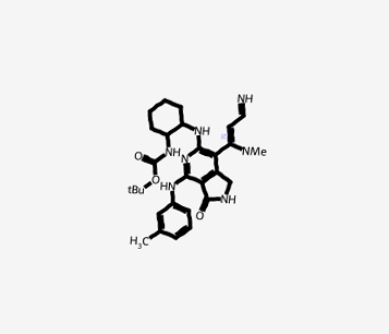 CN/C(=C\C=N)c1c(NC2CCCCC2NC(=O)OC(C)(C)C)nc(Nc2cccc(C)c2)c2c1CNC2=O